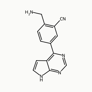 N#Cc1cc(-c2ncnc3[nH]ccc23)ccc1CN